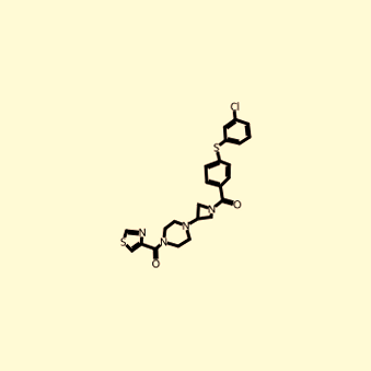 O=C(c1ccc(Sc2cccc(Cl)c2)cc1)N1CC(N2CCN(C(=O)c3cscn3)CC2)C1